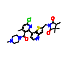 Cc1cc(Cl)nc(-c2ccnc3cc(CN4C(=O)C(C)C(C)(C)C4=O)sc23)c1C(=O)N1CCN(C)CC1